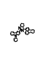 C1=CC(n2c3ccccc3c3cc(-c4nc(-c5ccc6c7c(cccc57)-c5ccccc5-6)c5ccccc5n4)ccc32)=CCC1